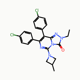 CCn1nc2c(-c3ccc(Cl)cc3)c(-c3ccc(Cl)cc3)nc(N3CC(C)C3)n2c1=O